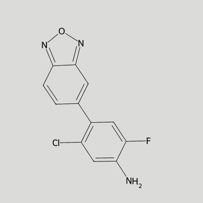 Nc1cc(Cl)c(-c2ccc3nonc3c2)cc1F